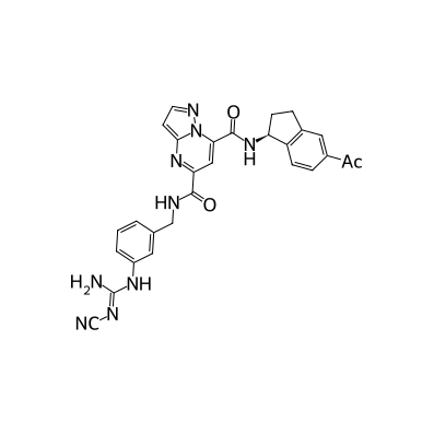 CC(=O)c1ccc2c(c1)CC[C@@H]2NC(=O)c1cc(C(=O)NCc2cccc(N/C(N)=N/C#N)c2)nc2ccnn12